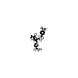 CNC(=O)[C@H]1CCN(CC2=C(C(=O)OC(=O)c3ccc([N+](=O)[O-])cc3)N3C(=O)[C@H](C(C)C)[C@H]3[C@H]2C)C1